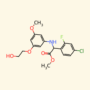 COC(=O)C(Nc1cc(OC)cc(OCCO)c1)c1ccc(Cl)cc1F